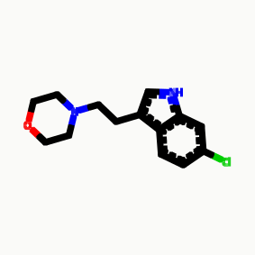 Clc1ccc2c(CCN3CCOCC3)c[nH]c2c1